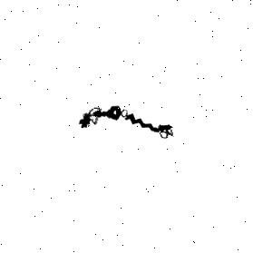 Cc1cc(CCCCCCCOc2ccc(C3=NC(C)(C)CO3)cc2)on1